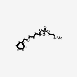 CNCCOP(=O)(O)OCCCCOCc1ccccc1